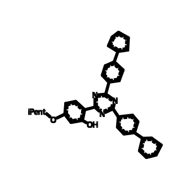 CCCC(C)Oc1ccc(-c2nc(-c3ccc(-c4ccccc4)cc3)nc(-c3ccc(-c4ccccc4)cc3)n2)c(O)c1